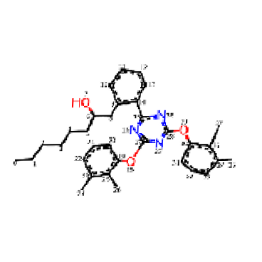 CCCCCCC(O)Cc1ccccc1-c1nc(Oc2cccc(C)c2C)nc(Oc2cccc(C)c2C)n1